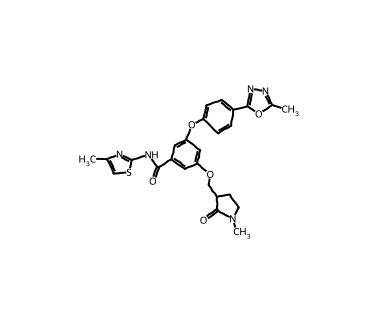 Cc1csc(NC(=O)c2cc(OCC3CCN(C)C3=O)cc(Oc3ccc(-c4nnc(C)o4)cc3)c2)n1